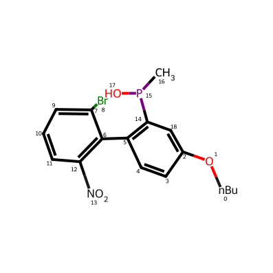 CCCCOc1ccc(-c2c(Br)cccc2[N+](=O)[O-])c(P(C)O)c1